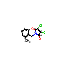 Cc1ccccc1CN1C(=O)C(Cl)=C(Cl)C1=O